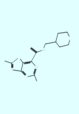 Cc1nc2nc(Cl)nc(C(=O)NCC3CCOCC3)c2s1